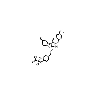 Cc1ccc(CN2NC(CCCc3ccc(OC(C)(C)C(=O)O)cc3)(Cc3ccc(F)cc3)NC2=O)cc1